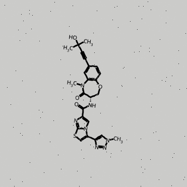 CN1C(=O)[C@@H](NC(=O)c2cn3c(-c4cn(C)nn4)csc3n2)COc2ccc(C#CC(C)(C)O)cc21